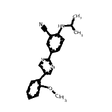 COc1ccccc1-c1cnc(-c2ccc(NC(C)C)c(C#N)c2)nc1